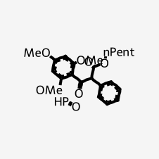 CCCCCOC(=O)C(C(=O)c1c(OC)cc(OC)cc1OC)c1ccccc1.O=P